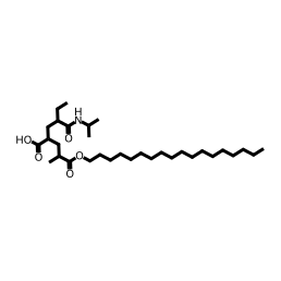 CCCCCCCCCCCCCCCCCCOC(=O)C(C)CC(CC(CC)C(=O)NC(C)C)C(=O)O